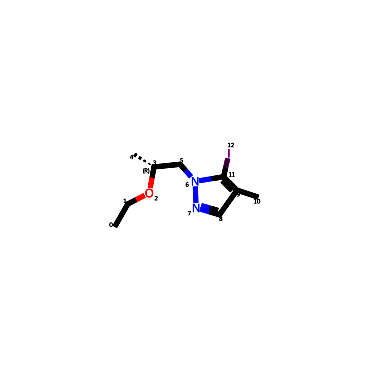 CCO[C@H](C)Cn1ncc(C)c1I